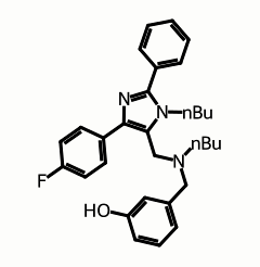 CCCCN(Cc1cccc(O)c1)Cc1c(-c2ccc(F)cc2)nc(-c2ccccc2)n1CCCC